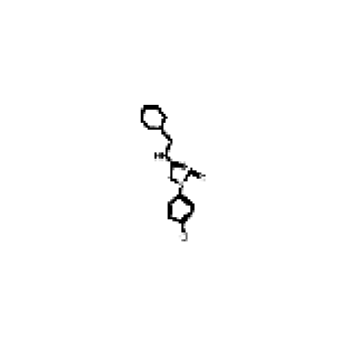 O=C1N=C(NCC2CCCCC2)CN1c1ccc(Cl)cc1